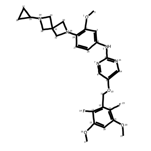 COc1cc(Nc2ncc(OCc3c(F)c(OC)cc(OC)c3F)cn2)ccc1N1CC2(C1)CN(C1CC1)C2